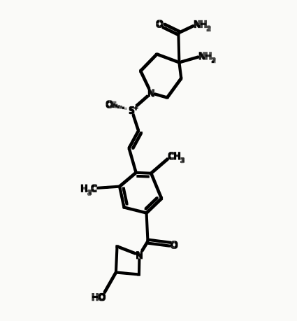 Cc1cc(C(=O)N2CC(O)C2)cc(C)c1/C=C/[S@+]([O-])N1CCC(N)(C(N)=O)CC1